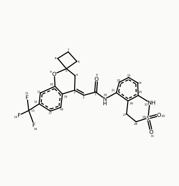 O=C(C=C1CC2(CCC2)Oc2cc(C(F)(F)F)ccc21)Nc1cccc2c1CCS(=O)(=O)N2